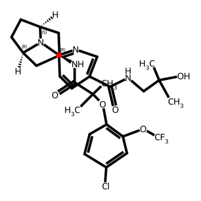 CC(C)(O)CNC(=O)c1ccc(N2[C@@H]3CC[C@H]2C[C@@H](NC(=O)C(C)(C)Oc2ccc(Cl)cc2OC(F)(F)F)C3)nc1